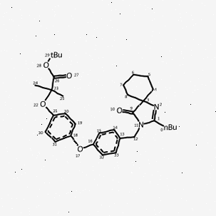 CCCCC1=NC2(CCCCC2)C(=O)N1Cc1ccc(Oc2ccc(OC(C)(C)C(=O)OC(C)(C)C)cc2)cc1